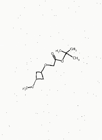 COC1CC(OCC(=O)OC(C)(C)C)C1